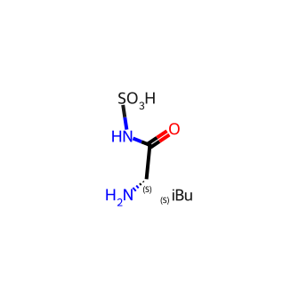 CC[C@H](C)[C@H](N)C(=O)NS(=O)(=O)O